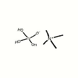 C[N+](C)(C)C.[O-][Si](O)(O)O